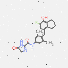 Cc1cc(NC(=O)C2=NCC(=O)N2)cc(C)c1Cc1cc(F)c(O)c2c1CCCC2